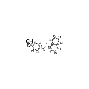 COc1ccc(C=Cc2cccc3ccccc23)cc1